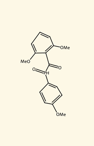 COc1ccc([PH](=O)C(=O)c2c(OC)cccc2OC)cc1